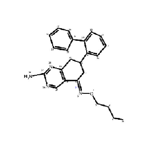 CCCCO/N=C1\CC(c2ccccc2-c2ccccc2)Cc2nc(N)ncc21